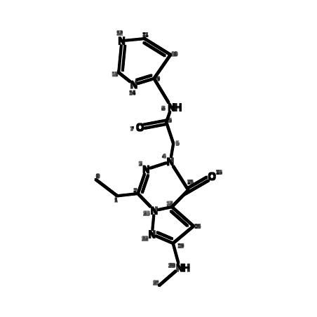 CCc1nn(CC(=O)Nc2ccncn2)c(=O)c2cc(NC)nn12